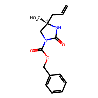 C=CC[C@@]1(C(=O)O)CN(C(=O)OCc2ccccc2)C(=O)N1